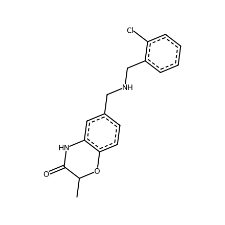 CC1Oc2ccc(CNCc3ccccc3Cl)cc2NC1=O